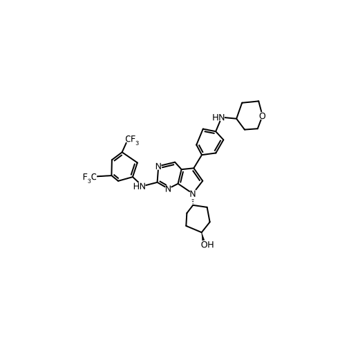 O[C@H]1CC[C@H](n2cc(-c3ccc(NC4CCOCC4)cc3)c3cnc(Nc4cc(C(F)(F)F)cc(C(F)(F)F)c4)nc32)CC1